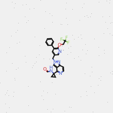 O=CNC1(c2nccc3nn(Cc4cnc(OCC(F)(F)F)c(-c5ccccc5)c4)cc23)CC1